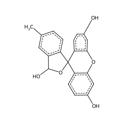 Cc1ccc2c(c1)C(O)OC21c2ccc(O)cc2Oc2cc(O)ccc21